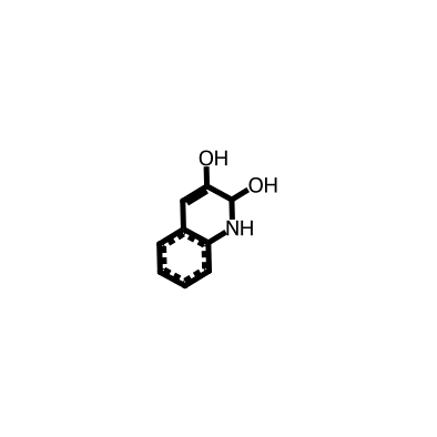 OC1=Cc2ccccc2NC1O